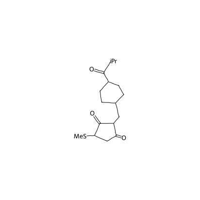 CSC1CC(=O)C(CC2CCC(C(=O)C(C)C)CC2)C1=O